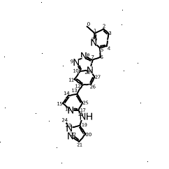 Cc1cccc(Cc2nnc3cc(-c4ccnc(Nc5ccnn5C)c4)ccn23)n1